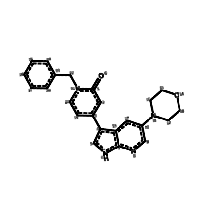 O=c1cc(-c2c[nH]c3ncc(N4CCOCC4)cc23)ccn1Cc1ccccc1